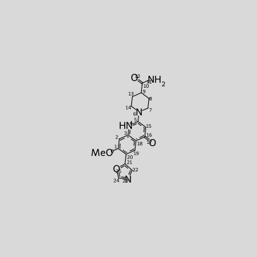 COc1cc2[nH]c(N3CCC(C(N)=O)CC3)cc(=O)c2cc1-c1cnco1